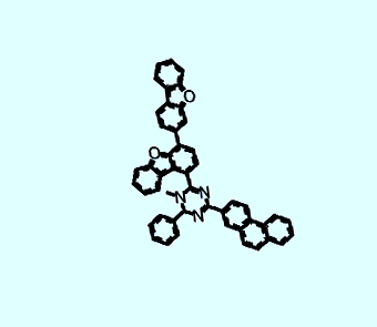 CN1C(c2ccc(-c3ccc4c(c3)oc3ccccc34)c3oc4ccccc4c23)=NC(c2ccc3c(ccc4ccccc43)c2)=NC1c1ccccc1